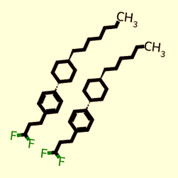 CCCCCCC[C@H]1CC[C@H](c2ccc(CCC(F)F)cc2)CC1.CCCCCC[C@H]1CC[C@H](c2ccc(CCC(F)F)cc2)CC1